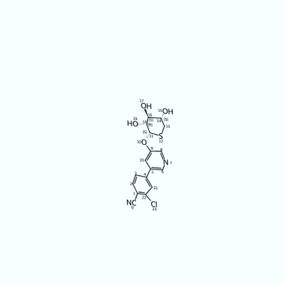 N#Cc1ccc(-c2cncc(O[C@H]3SC[C@@H](O)[C@H](O)[C@H]3O)c2)cc1Cl